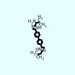 CC(C)Cc1ncc(-c2ccc(-c3ccc(-c4cnc([C@H](N)C(C)C)[nH]4)cc3)cc2)[nH]1